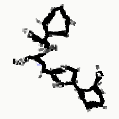 O=C(O)/C(=C/c1ncc(-c2ccccc2Cl)s1)NC(=O)c1ccccc1